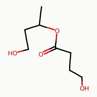 CC(CCO)OC(=O)CCCO